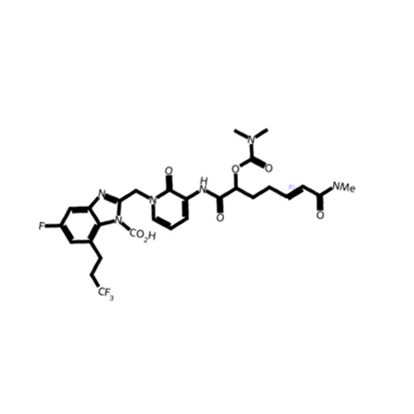 CNC(=O)/C=C/CCC(OC(=O)N(C)C)C(=O)Nc1cccn(Cc2nc3cc(F)cc(CCC(F)(F)F)c3n2C(=O)O)c1=O